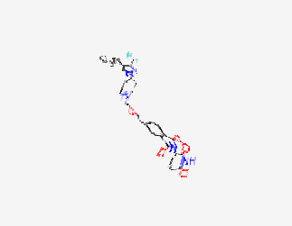 O=C1CCC(N2C(=O)c3ccc(CCOCCN4CCC(n5cc([N+](=O)[O-])c(C(F)F)n5)CC4)cc3C2=O)C(=O)N1